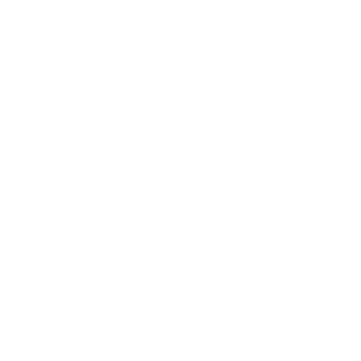 CPCl.c1ccc(-c2ccccc2)cc1